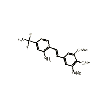 COc1cc(C=Cc2ccc(C(C)(F)F)cc2N)cc(OC)c1OC